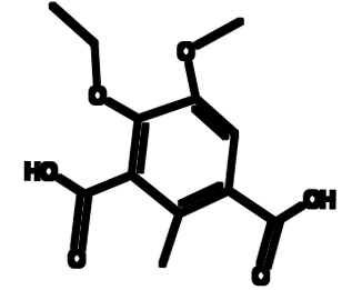 CCOc1c(OC)cc(C(=O)O)c(C)c1C(=O)O